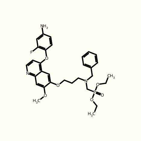 CCOP(=O)(CN(CCCOc1cc2c(Oc3ccc(N)cc3F)ccnc2cc1OC)Cc1ccccc1)OCC